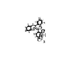 O=C(NC(Cc1ccccc1)c1ccccc1)c1ccc(C(F)(F)F)[nH]c1=O